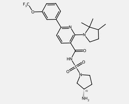 CC1CCN(c2nc(-c3cccc(OC(F)(F)F)c3)ccc2C(=O)NS(=O)(=O)N2CC[C@H](N)C2)C1(C)C